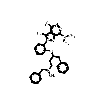 Cc1nnc(N(C)C)c2nn(-c3ccccc3OC(CCN(C)Cc3ccccc3)Cc3ccccc3)c(C)c12